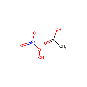 CC(=O)O.O=[N+]([O-])OO